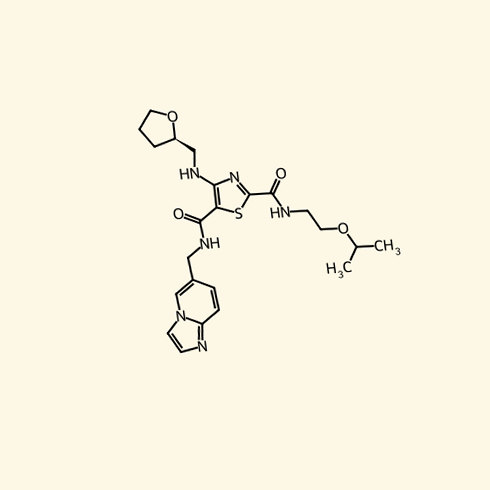 CC(C)OCCNC(=O)c1nc(NC[C@H]2CCCO2)c(C(=O)NCc2ccc3nccn3c2)s1